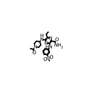 CCc1nc(C(N)=O)c(Nc2cccc(S(C)(=O)=O)c2)nc1NC1CCN(C(C)=O)CC1